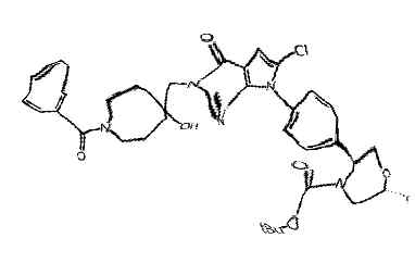 C[C@@H]1CN(C(=O)OC(C)(C)C)[C@@H](c2ccc(-n3c(Cl)cc4c(=O)n(CC5(O)CCN(C(=O)c6ccccc6)CC5)cnc43)cc2)CO1